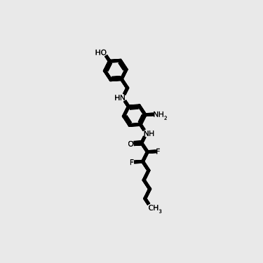 CCCCCC(F)C(F)C(=O)Nc1ccc(NCc2ccc(O)cc2)cc1N